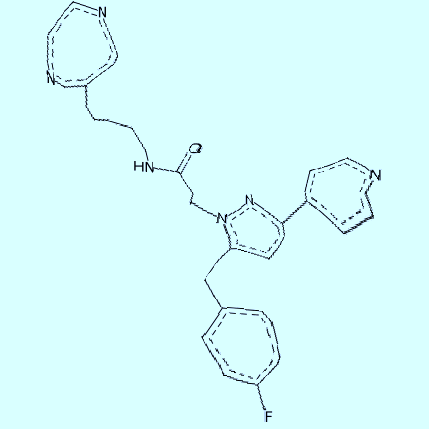 O=C(Cn1nc(-c2ccncc2)cc1Cc1ccc(F)cc1)NCCc1cnccn1